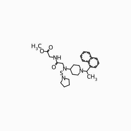 COC(=O)CNC(=O)CN(SN1CCCC1)C1CCN(C(C)c2cccc3ccccc23)CC1